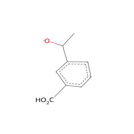 CC([O])c1cccc(C(=O)O)c1